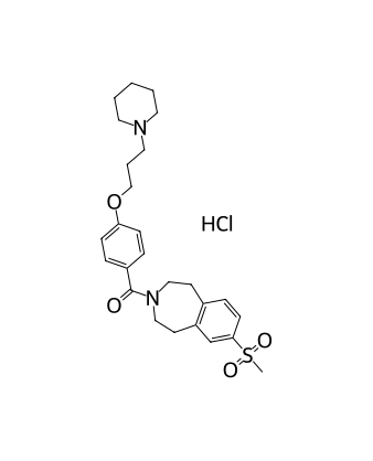 CS(=O)(=O)c1ccc2c(c1)CCN(C(=O)c1ccc(OCCCN3CCCCC3)cc1)CC2.Cl